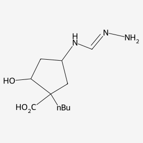 CCCCC1(C(=O)O)CC(NC=NN)CC1O